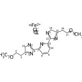 COCCC1=NC(c2cccc(C3=NCC(CCOC)=N3)n2)=NC1.[Cl-].[Cl-].[Fe+2]